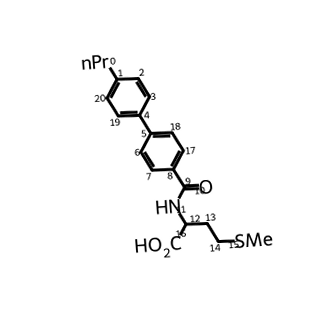 CCCc1ccc(-c2ccc(C(=O)NC(CCSC)C(=O)O)cc2)cc1